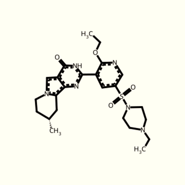 CCOc1ncc(S(=O)(=O)N2CCN(CC)CC2)cc1-c1nc2c3n(cc2c(=O)[nH]1)CC[C@@H](C)C3